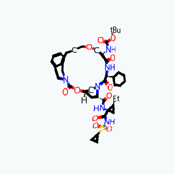 CC[C@@H]1C[C@]1(NC(=O)[C@@H]1C[C@@H]2CN1C(=O)[C@H](C1CCCCC1)NC(=O)[C@@H](NC(=O)OC(C)(C)C)COCCCc1cccc3c1CN(C3)C(=O)O2)C(=O)NS(=O)(=O)C1CC1